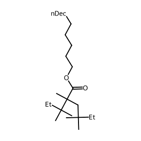 CCCCCCCCCCCCCCCOC(=O)C(C)(CC(C)(C)CC)C(C)(C)CC